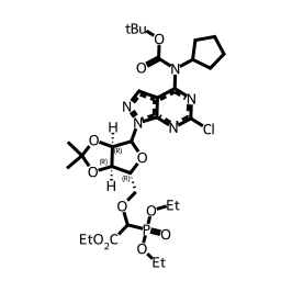 CCOC(=O)C(OC[C@H]1OC(n2ncc3c(N(C(=O)OC(C)(C)C)C4CCCC4)nc(Cl)nc32)[C@@H]2OC(C)(C)O[C@H]12)P(=O)(OCC)OCC